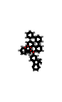 CC1(C)c2ccccc2-c2ccc(N(c3ccccc3)c3cccc(-c4cccc(-c5ccccc5)c4)c3-c3cccc4c3C(C)(C)c3ccccc3-4)cc21